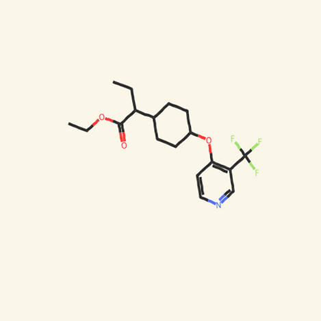 CCOC(=O)C(CC)C1CCC(Oc2ccncc2C(F)(F)F)CC1